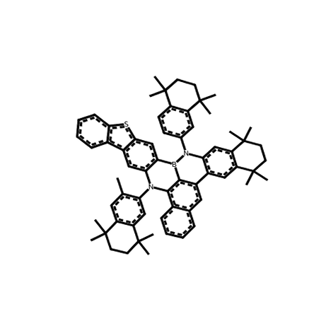 Cc1cc2c(cc1N1c3cc4c(cc3B3c5c(cc6ccccc6c51)-c1cc5c(cc1N3c1ccc3c(c1)C(C)(C)CCC3(C)C)C(C)(C)CCC5(C)C)sc1ccccc14)C(C)(C)CCC2(C)C